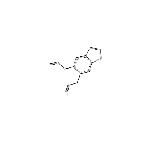 C=CCc1cc2c(cc1CC=C)C=C[CH]2